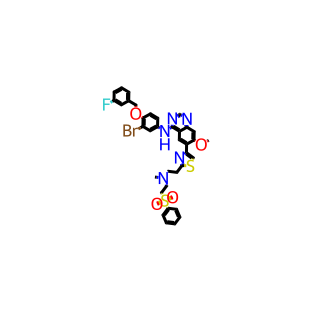 COc1cc2ncnc(Nc3ccc(OCc4cccc(F)c4)c(Br)c3)c2cc1-c1csc(CCN(C)CCS(=O)(=O)c2ccccc2)n1